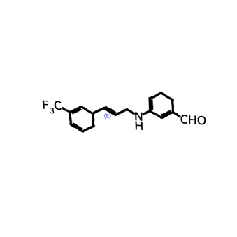 O=CC1=CC(NC/C=C/C2C=C(C(F)(F)F)C=CC2)=CCC1